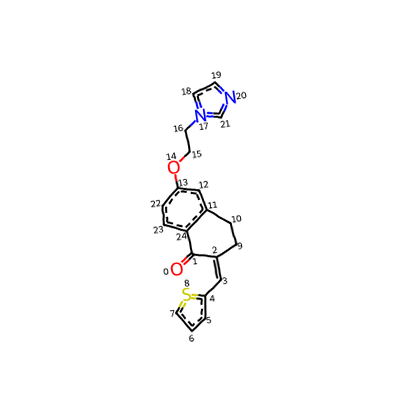 O=C1C(=Cc2cccs2)CCc2cc(OCCn3ccnc3)ccc21